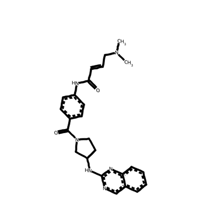 CN(C)C/C=C/C(=O)Nc1ccc(C(=O)N2CCC(Nc3ncc4ccccc4n3)C2)cc1